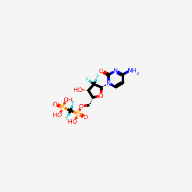 Nc1ccn([C@@H]2O[C@H](COP(=O)(O)C(F)(F)P(=O)(O)O)[C@H](O)C2(F)F)c(=O)n1